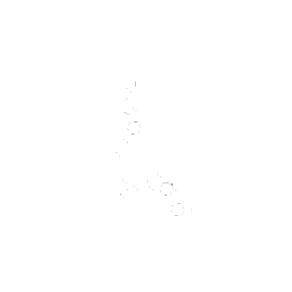 CC1(C)CC(CN2CCN(c3ccc4c(c3)C(=O)N(C3CCC(=O)NC3=O)C4)CC2)CCN1C(=O)N1CCN2c3cc(-c4cccc(F)c4O)nnc3NC[C@H]2C1